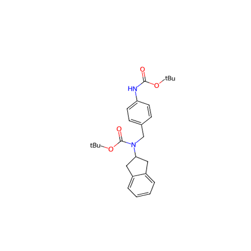 CC(C)(C)OC(=O)Nc1ccc(CN(C(=O)OC(C)(C)C)C2Cc3ccccc3C2)cc1